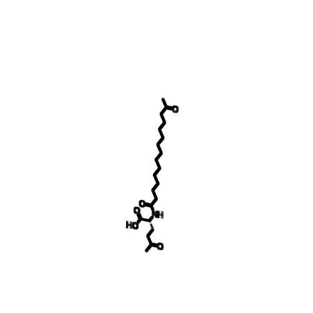 CC(=O)CCCCCCCCCCCCC(=O)N[C@H](CCC(C)=O)C(=O)O